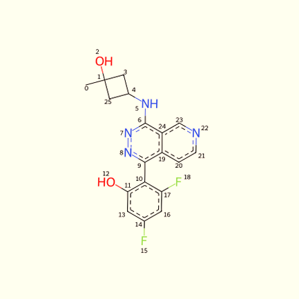 CC1(O)CC(Nc2nnc(-c3c(O)cc(F)cc3F)c3ccncc23)C1